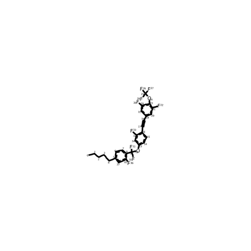 CCCCCc1ccc(C(F)(F)Oc2ccc(C#Cc3cc(F)c(OC(F)(F)F)c(F)c3)c(F)c2)c(F)c1